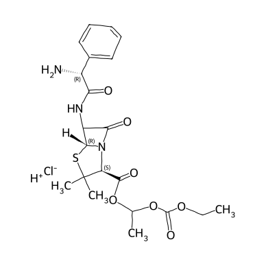 CCOC(=O)OC(C)OC(=O)[C@@H]1N2C(=O)C(NC(=O)[C@H](N)c3ccccc3)[C@H]2SC1(C)C.[Cl-].[H+]